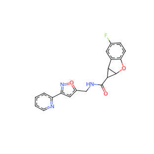 O=C(NCc1cc(-c2ccccn2)no1)C1C2Oc3ccc(F)cc3C21